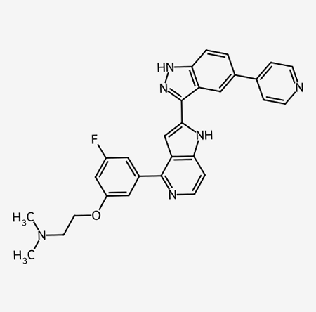 CN(C)CCOc1cc(F)cc(-c2nccc3[nH]c(-c4n[nH]c5ccc(-c6ccncc6)cc45)cc23)c1